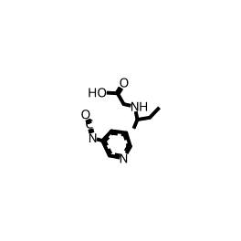 CCC(C)NCC(=O)O.O=C=Nc1cccnc1